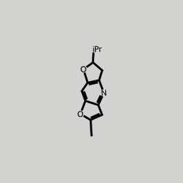 Cc1cc2nc3c(cc2o1)OC(C(C)C)C3